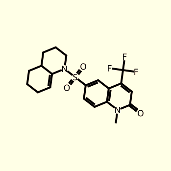 Cn1c(=O)cc(C(F)(F)F)c2cc(S(=O)(=O)N3CCCC4CCCC=C43)ccc21